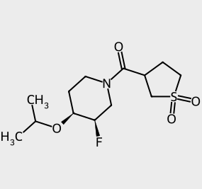 CC(C)O[C@H]1CCN(C(=O)C2CCS(=O)(=O)C2)C[C@H]1F